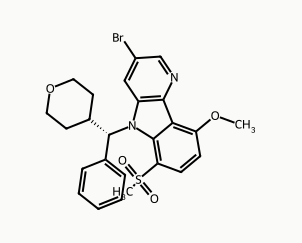 COc1ccc(S(C)(=O)=O)c2c1c1ncc(Br)cc1n2[C@H](c1ccccc1)C1CCOCC1